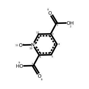 O=C(O)c1ccc(C(=O)O)[n+]([O-])c1